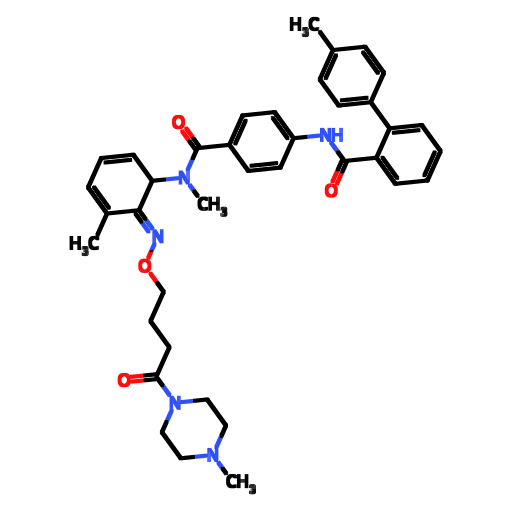 CC1=CC=CC(N(C)C(=O)c2ccc(NC(=O)c3ccccc3-c3ccc(C)cc3)cc2)C1=NOCCCC(=O)N1CCN(C)CC1